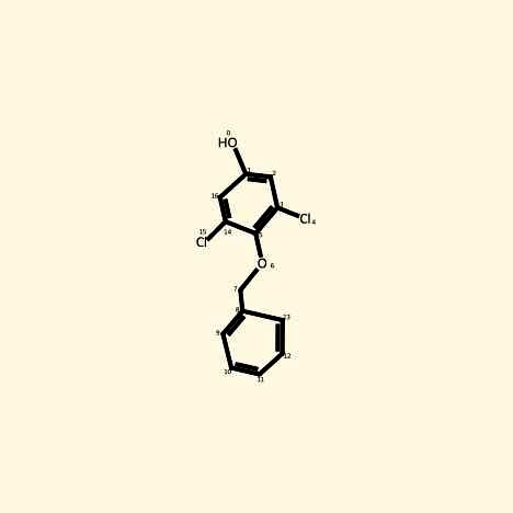 Oc1cc(Cl)c(OCc2ccccc2)c(Cl)c1